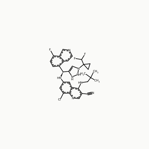 CC(C)(C)CNc1c(C#N)cnc2c(Cl)cc(N[C@H](C3=CN(C4(C(F)F)CC4)NN3)c3ccc(F)c4cnccc34)cc12